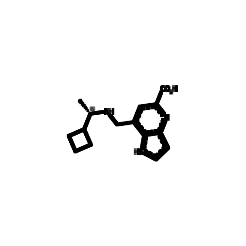 C[C@H](NCc1cc(C(=O)O)nc2cc[nH]c12)C1CCC1